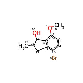 COc1ccc(Br)c2c1C(O)C(C)C2